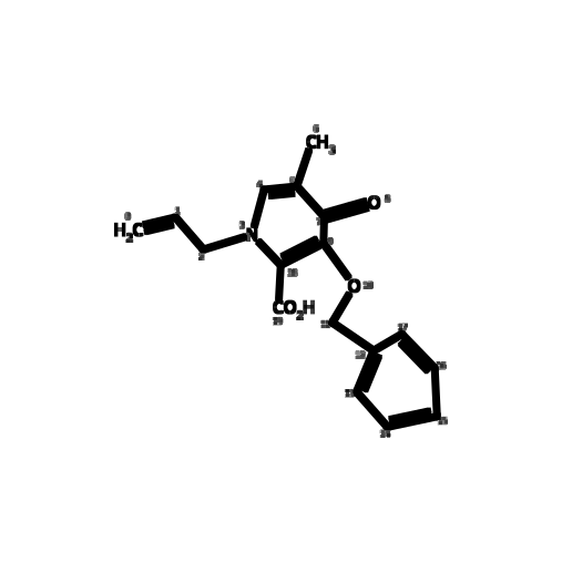 C=CCn1cc(C)c(=O)c(OCc2ccccc2)c1C(=O)O